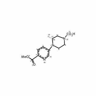 COC(=O)c1ccc(N2CCN(C(=O)O)C[C@H]2C)cn1